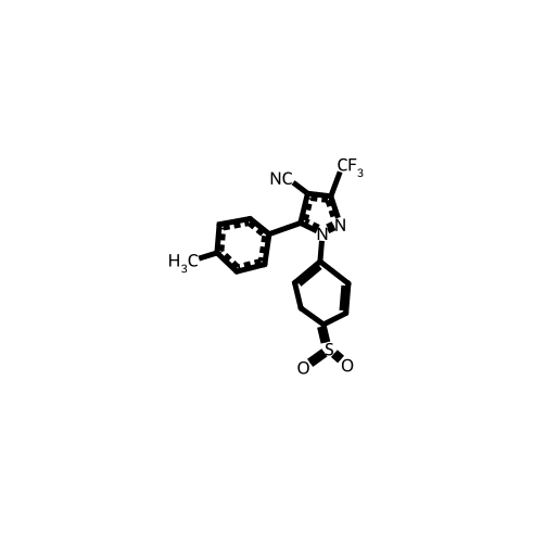 Cc1ccc(-c2c(C#N)c(C(F)(F)F)nn2C2=CCC(=S(=O)=O)C=C2)cc1